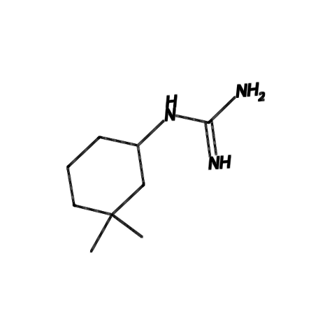 CC1(C)CCCC(NC(=N)N)C1